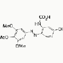 COc1cc(N=Nc2ccc(O)cc2NC(=O)O)cc(OC)c1OC